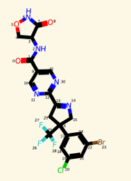 O=C(NC1CONC1=O)c1cnc(C2=NCC(c3cc(Cl)cc(Br)c3)(C(F)(F)F)C2)nc1